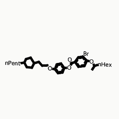 CCCCCCC(C)Oc1ccc(C(=O)Oc2ccc(OCCCC3CCC(CCCCC)CC3)cc2)cc1Br